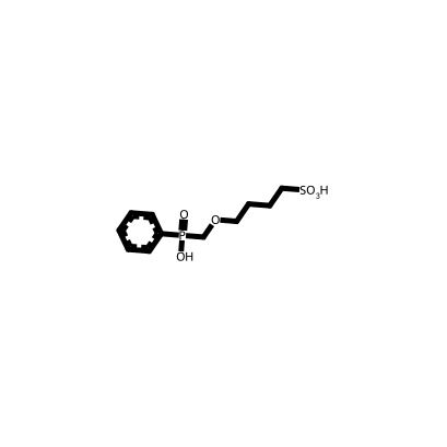 O=P(O)(COCCCCS(=O)(=O)O)c1ccccc1